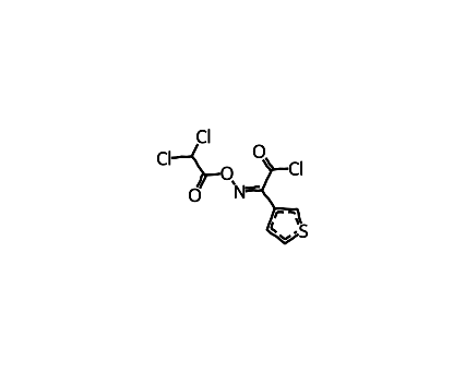 O=C(Cl)C(=NOC(=O)C(Cl)Cl)c1ccsc1